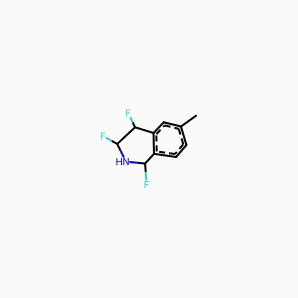 Cc1ccc2c(c1)C(F)C(F)NC2F